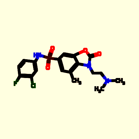 Cc1cc(S(=O)(=O)Nc2ccc(F)c(Cl)c2)cc2oc(=O)n(CCN(C)C)c12